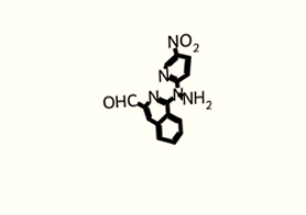 NN(c1ccc([N+](=O)[O-])cn1)c1nc(C=O)cc2ccccc12